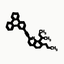 CCCC1=C(C(C)CC)c2nc(C#Cc3ccc4c5ccccc5c5ccccc5c4c3)ccc2CC1